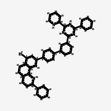 CCc1cc(-c2ccc(-c3cccc(-c4nc(-c5ccccc5)nc(-c5ccccn5)n4)c3)cc2)nc2c1ccc1ccc(-c3ccccc3)nc12